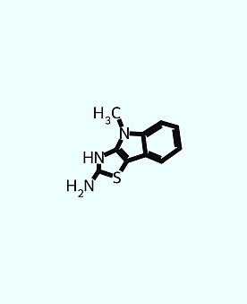 Cn1c2c(c3ccccc31)SC(N)N2